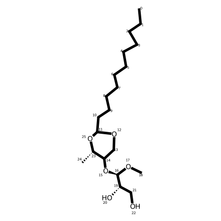 CCCCCCCCCCCC1OCC(O[C@@H](OC)[C@@H](O)CO)[C@H](C)O1